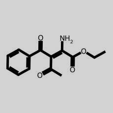 CCOC(=O)C(N)=C(C(C)=O)C(=O)c1ccccc1